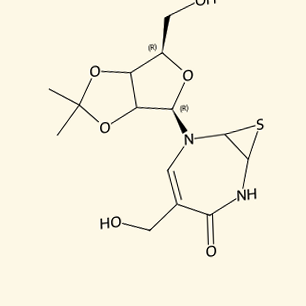 CC1(C)OC2C(O1)[C@@H](CO)O[C@H]2N1C=C(CO)C(=O)NC2SC21